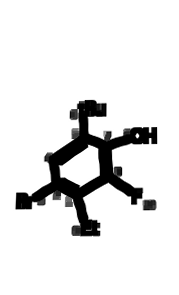 CCc1c(Br)cc(C(C)(C)C)c(O)c1F